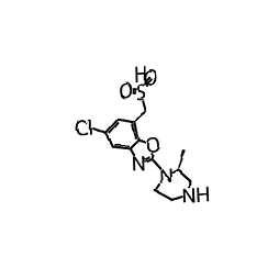 C[C@H]1CNCCN1c1nc2cc(Cl)cc(C[SH](=O)=O)c2o1